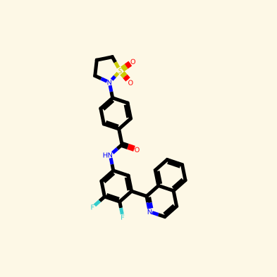 O=C(Nc1cc(F)c(F)c(-c2nccc3ccccc23)c1)c1ccc(N2CCCS2(=O)=O)cc1